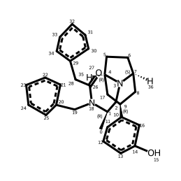 C[C@H](CN1[C@@H]2CC[C@H]1C[C@@H](c1cccc(O)c1)C2)N(Cc1ccccc1)C(=O)Cc1ccccc1